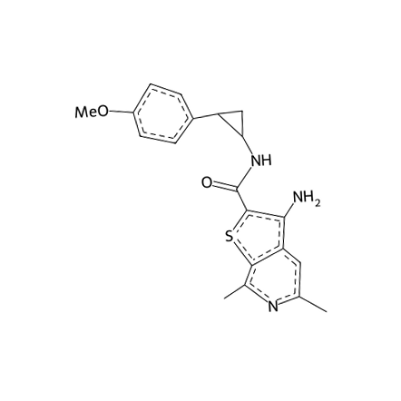 COc1ccc(C2CC2NC(=O)c2sc3c(C)nc(C)cc3c2N)cc1